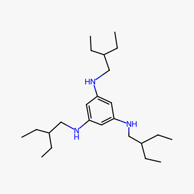 CCC(CC)CNc1cc(NCC(CC)CC)cc(NCC(CC)CC)c1